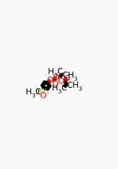 CC(C)C(=O)OC(OC(=O)Oc1ccc([S+](C)[O-])cc1)C(C)C